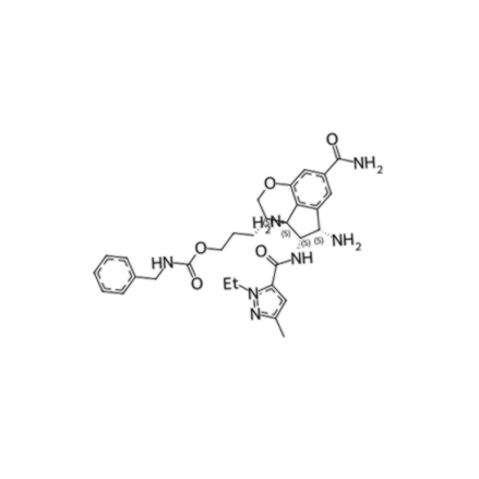 CCn1nc(C)cc1C(=O)N[C@H]1[C@@H](N)c2cc(C(N)=O)cc3c2[C@@]1(N)[C@H](CCCOC(=O)NCc1ccccc1)CO3